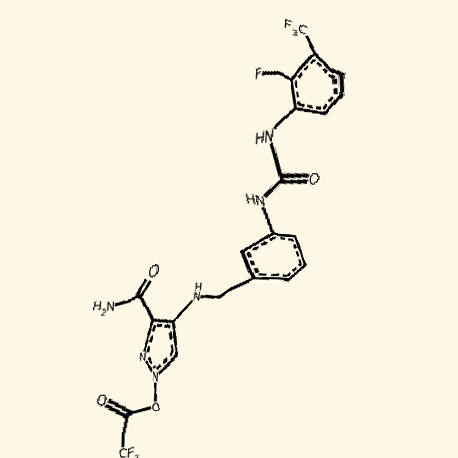 NC(=O)c1nn(OC(=O)C(F)(F)F)cc1NCc1cccc(NC(=O)Nc2cccc(C(F)(F)F)c2F)c1